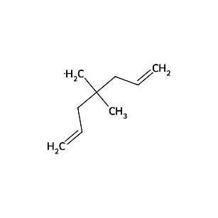 [CH2]C(C)(CC=C)CC=C